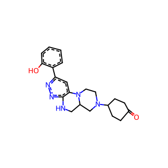 O=C1CCC(N2CCN3c4cc(-c5ccccc5O)nnc4NCC3C2)CC1